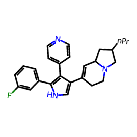 CCCC1CC2C=C(c3c[nH]c(-c4cccc(F)c4)c3-c3ccncc3)CCN2C1